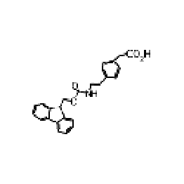 O=C(O)Cc1ccc(CCNC(=O)OCC2c3ccccc3-c3ccccc32)cc1